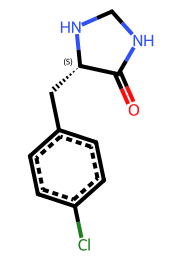 O=C1NCN[C@H]1Cc1ccc(Cl)cc1